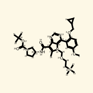 COc1ccc(OCC2CC2)c(-c2ncnc3c(C(=O)N[C@@H]4CCN(C(=O)OC(C)(C)C)C4)c(C)n(COCC[Si](C)(C)C)c23)c1